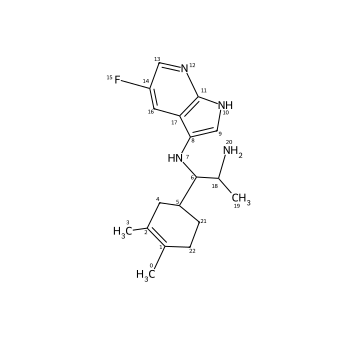 CC1=C(C)CC(C(Nc2c[nH]c3ncc(F)cc23)C(C)N)CC1